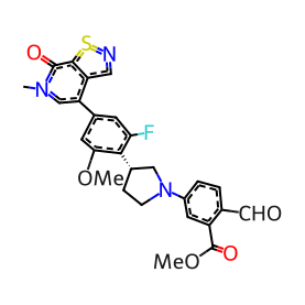 COC(=O)c1cc(N2CC[C@H](c3c(F)cc(-c4cn(C)c(=O)c5sncc45)cc3OC)C2)ccc1C=O